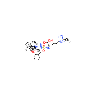 CC(=N)NCCCC[C@H](NS(=O)(=O)N[C@@H](CC1CCCCC1)C(O)N[C@H]1C[C@H]2CC[C@]1(C)C2(C)C)C(=O)O